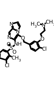 Cc1c(Cl)cccc1S(=O)(=O)Nc1ncc2nccn2c1OCc1ccc(Cl)c(OCCN(C)C)c1